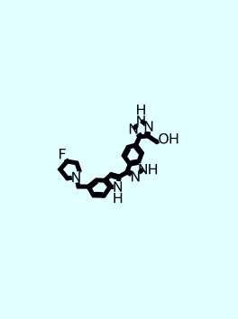 OCc1n[nH]nc1-c1ccc2c(-c3cc4cc(CN5CCC(F)CC5)ccc4[nH]3)n[nH]c2c1